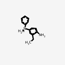 CCc1cc(N(N)c2ccccc2)ccc1N